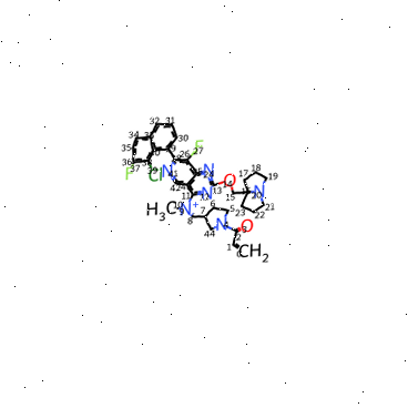 C=CC(=O)N1CCC(/C=[N+](/C)c2nc(OCC34CCCN3CCC4)nc3c(F)c(-c4cccc5ccc(F)c(Cl)c45)ncc23)C1